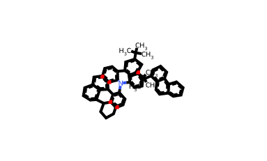 CC(C)(C)c1cc(-c2ccccc2N(c2ccc(-c3cccc4c3ccc3ccccc34)cc2)c2ccccc2-c2cccc3cccc(C4CCCCC4)c23)cc(C(C)(C)C)c1